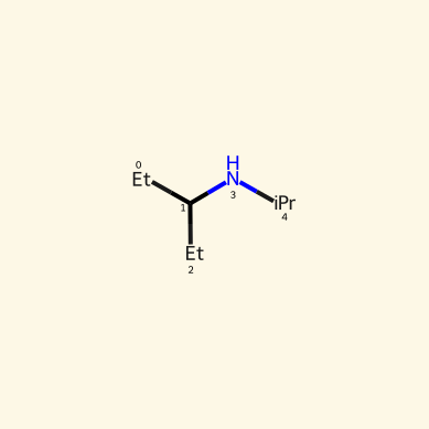 [CH2]CC(CC)NC(C)C